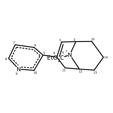 CCOC(=O)N1C2C=C(c3cccnc3)CC1CCC2